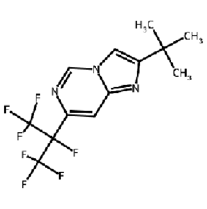 CC(C)(C)c1cn2cnc(C(F)(C(F)(F)F)C(F)(F)F)cc2n1